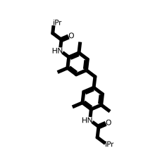 Cc1cc(Cc2cc(C)c(NC(=O)CC(C)C)c(C)c2)cc(C)c1NC(=O)CC(C)C